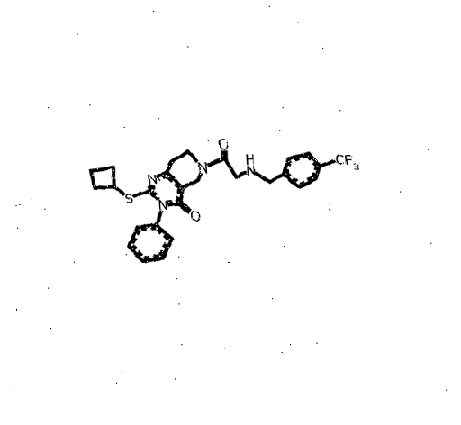 O=C(CNCc1ccc(C(F)(F)F)cc1)N1CCc2nc(SC3CCC3)n(-c3ccccc3)c(=O)c2C1